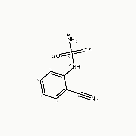 N#Cc1ccccc1NS(N)(=O)=O